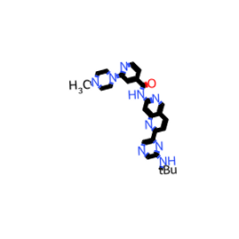 CN1CCN(c2cc(C(=O)Nc3cc4nc(-c5cncc(NC(C)(C)C)n5)ccc4cn3)ccn2)CC1